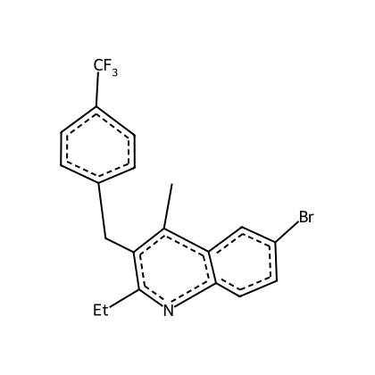 CCc1nc2ccc(Br)cc2c(C)c1Cc1ccc(C(F)(F)F)cc1